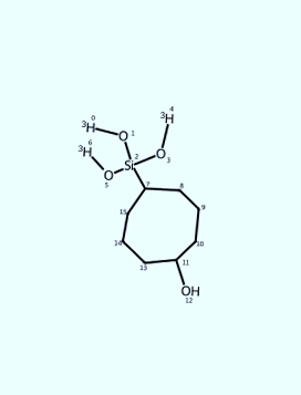 [3H]O[Si](O[3H])(O[3H])C1CCCC(O)CCC1